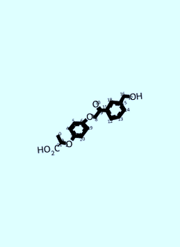 C[C@H](Oc1ccc(OCC(=O)c2cccc(CO)c2)cc1)C(=O)O